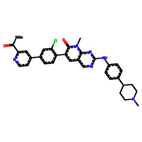 CNC(=O)c1cc(-c2ccc(-c3cc4cnc(Nc5ccc(C6CCN(C)CC6)cc5)nc4n(C)c3=O)c(Cl)c2)ccn1